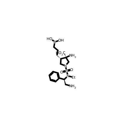 CCN([C@@H](CN)c1ccccc1)S(=O)(=O)N1C[C@H](CCCB(O)O)[C@](N)(C(=O)O)C1